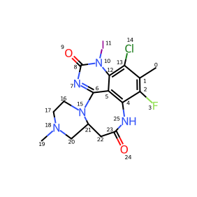 Cc1c(F)c2c3c(nc(=O)n(I)c3c1Cl)N1CCN(C)CC1CC(=O)N2